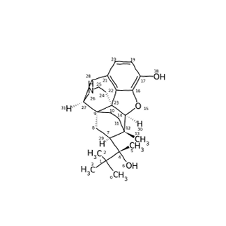 CC(C)(C)[C@@](C)(O)[C@H]1C[C@@]23CC[C@]1(C)[C@@H]1Oc4c(O)ccc5c4[C@@]12CCN[C@@H]3C5